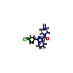 O=C(c1nc(-c2ccc(Cl)cc2)n2ccccc12)N1CCNCC1